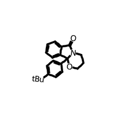 CC(C)(C)c1ccc(C23OCCCN2C(=O)c2ccccc23)cc1